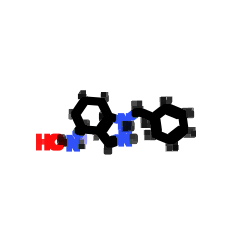 O/N=C1\CCCc2c1cnn2Cc1ccccc1